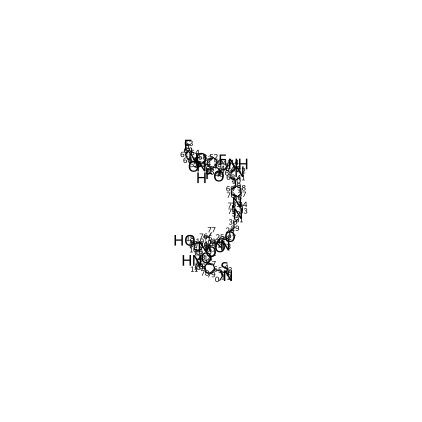 Cc1ncsc1-c1ccc([C@H](C)NC(=O)[C@@H]2C[C@@H](O)CN2C(=O)[C@H](c2cc(OCCCCN3CCN(c4ccc(-c5cnc6[nH]cc(C(=O)c7c(F)ccc(NS(=O)(=O)N8CC[C@@H](F)C8)c7F)c6c5)cc4)CC3)no2)C(C)C)cc1